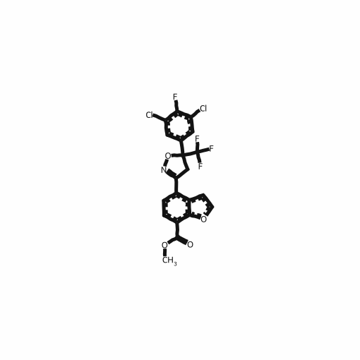 COC(=O)c1ccc(C2=NOC(c3cc(Cl)c(F)c(Cl)c3)(C(F)(F)F)C2)c2ccoc12